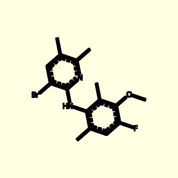 COc1c(F)cc(C)c(Nc2nc(C)c(C)cc2Br)c1C